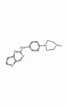 CN1CCN(c2ccc(Nc3ncc4sccc4n3)cc2)CC1